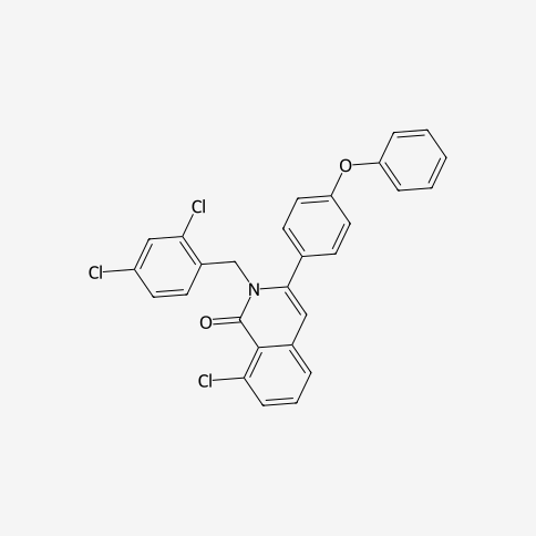 O=c1c2c(Cl)cccc2cc(-c2ccc(Oc3ccccc3)cc2)n1Cc1ccc(Cl)cc1Cl